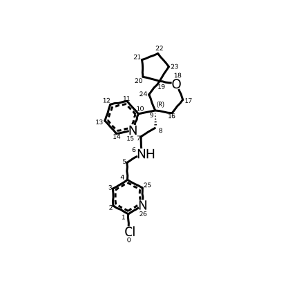 Clc1ccc(CNCC[C@@]2(c3ccccn3)CCOC3(CCCC3)C2)cn1